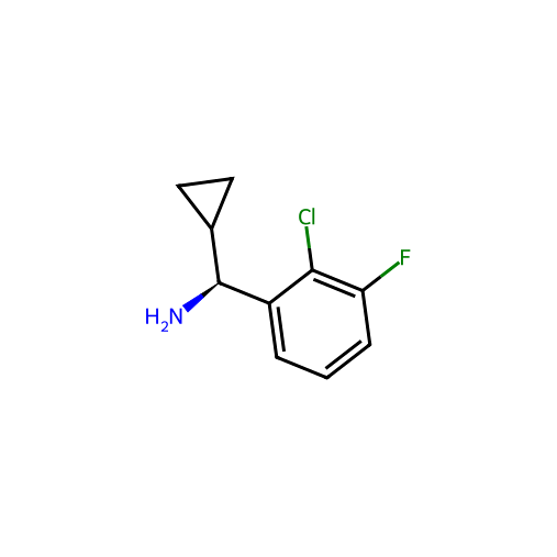 N[C@H](c1cccc(F)c1Cl)C1CC1